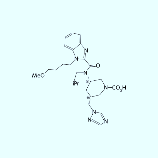 COCCCCn1c(C(=O)N(CC(C)C)[C@H]2C[C@@H](Cn3cncn3)CN(C(=O)O)C2)nc2ccccc21